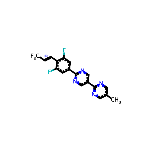 Cc1cnc(-c2cnc(-c3cc(F)c(/C=C/C(F)(F)F)c(F)c3)nc2)nc1